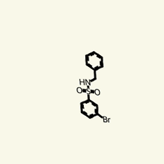 O=S(=O)(NCc1ccccc1)c1cccc(Br)c1